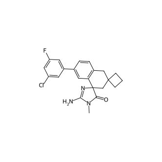 CN1C(=O)C2(CC3(CCC3)Cc3ccc(-c4cc(F)cc(Cl)c4)cc32)N=C1N